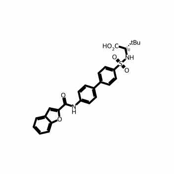 CC(C)(C)[C@H](NS(=O)(=O)c1ccc(-c2ccc(NC(=O)c3cc4ccccc4o3)cc2)cc1)C(=O)O